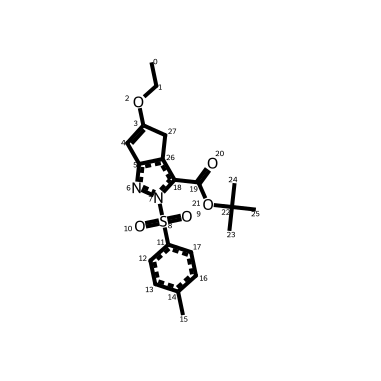 CCOC1=Cc2nn(S(=O)(=O)c3ccc(C)cc3)c(C(=O)OC(C)(C)C)c2C1